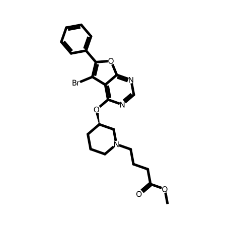 COC(=O)CCCN1CCC[C@@H](Oc2ncnc3oc(-c4ccccc4)c(Br)c23)C1